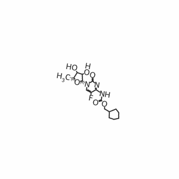 C[C@H]1O[C@@H](n2cc(F)c(NC(=O)OCC3CCCCC3)nc2=O)C(O)C1O